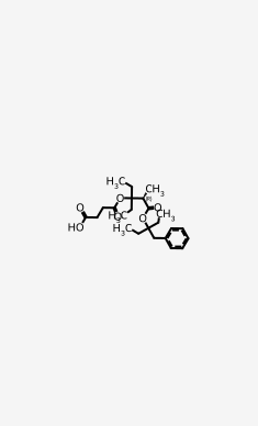 CCC(CC)(Cc1ccccc1)OC(=O)[C@H](C)C(CC)(CC)OC(=O)CCC(=O)O